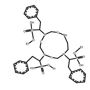 CCOP(=O)(O)C(Cc1ccccc1)N1CCNCCN(C(Cc2ccccc2)P(=O)(O)OCC)CCN(C(Cc2ccccc2)P(=O)(O)OCC)CC1